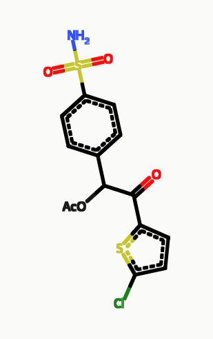 CC(=O)OC(C(=O)c1ccc(Cl)s1)c1ccc(S(N)(=O)=O)cc1